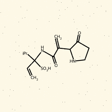 C=CC(NC(=O)C(=C)C1NCCC1=O)(C(C)C)S(=O)(=O)O